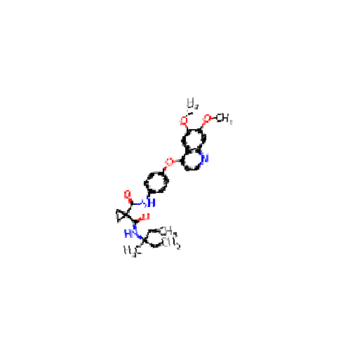 CCC(C)(CC)NC(=O)C1(C(=O)Nc2ccc(Oc3ccnc4cc(OC)c(OC)cc34)cc2)CC1